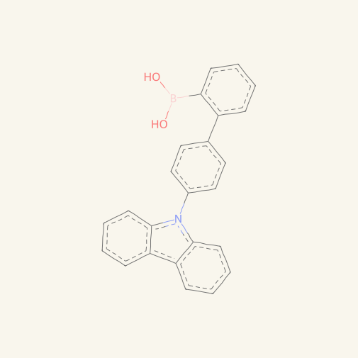 OB(O)c1ccccc1-c1ccc(-n2c3ccccc3c3ccccc32)cc1